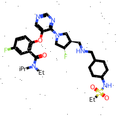 CCN(C(=O)c1cc(F)ccc1Oc1cncnc1N1C[C@@H](CNCC2CCC(NS(=O)(=O)CC)CC2)[C@H](F)C1)C(C)C